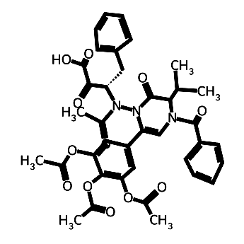 CC(=O)Oc1cc(C2=CN(C(=O)c3ccccc3)C(C(C)C)C(=O)N2N(C(C)=O)[C@@H](Cc2ccccc2)C(=O)C(=O)O)cc(OC(C)=O)c1OC(C)=O